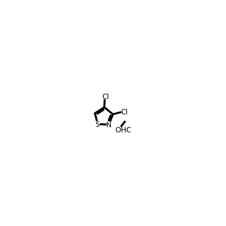 CC=O.Clc1csnc1Cl